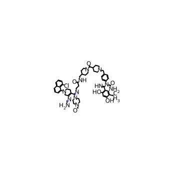 CCc1cc(C(=N)N(C(N)=O)c2ccc(CN3CCC(C(=O)N4CCC(CNC(=O)CC/N=C(C5=C(/N=C/N)CN(c6cccc7cccc(Cl)c67)CC5)/N5CCN(C=O)CC5)CC4)CC3)cc2)c(O)cc1O